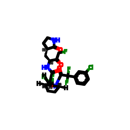 O=C1NCC[C@H]1C[C@H](NC(=O)[C@H]1[C@H]2CC[C@H](CC2(F)F)N1C(=O)C(F)(F)c1cccc(Cl)c1)C(=O)CF